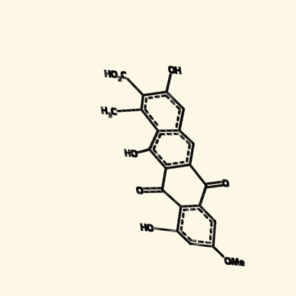 COc1cc(O)c2c(c1)C(=O)c1cc3cc(O)c(C(=O)O)c(C)c3c(O)c1C2=O